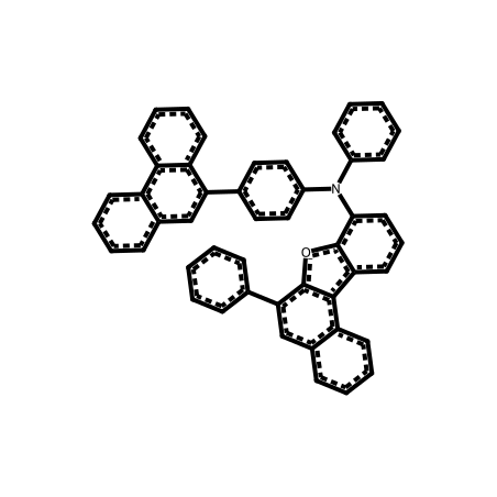 c1ccc(-c2cc3ccccc3c3c2oc2c(N(c4ccccc4)c4ccc(-c5cc6ccccc6c6ccccc56)cc4)cccc23)cc1